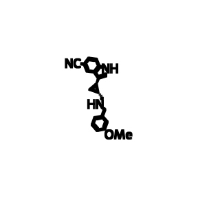 COc1cccc(CNC[C@@H]2C[C@H]2c2c[nH]c3ccc(C#N)cc23)c1